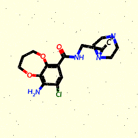 Nc1c(Cl)cc(C(=O)NCC2CN3CCN2CC3)c2c1OCCCO2